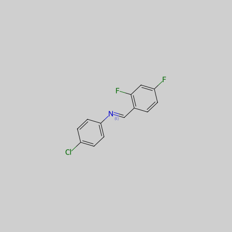 Fc1ccc(/C=N/c2ccc(Cl)cc2)c(F)c1